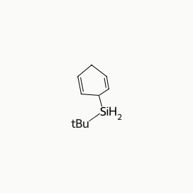 CC(C)(C)[SiH2]C1C=CCC=C1